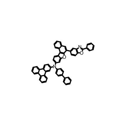 c1ccc(-c2ccc(N(c3ccc4c(c3)oc3c(-c5ccc6oc(-c7ccccc7)nc6c5)cc5ccccc5c34)c3ccc4c5ccccc5c5ccccc5c4c3)cc2)cc1